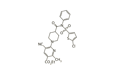 CCOC(=O)c1cc(C#N)c(N2CCC(C(=O)N(c3ccccc3)S(=O)(=O)c3ccc(Cl)s3)CC2)nc1C